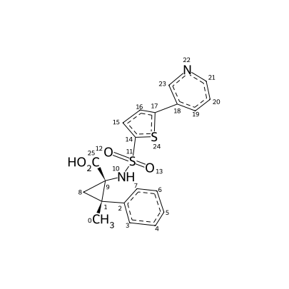 C[C@@]1(c2ccccc2)C[C@@]1(NS(=O)(=O)c1ccc(-c2cccnc2)s1)C(=O)O